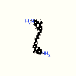 CCC(c1ccc(CCCCCCCCc2ccc(C(CC)c3ccc(N)cc3C)cc2)cc1)c1ccc(N)cc1C